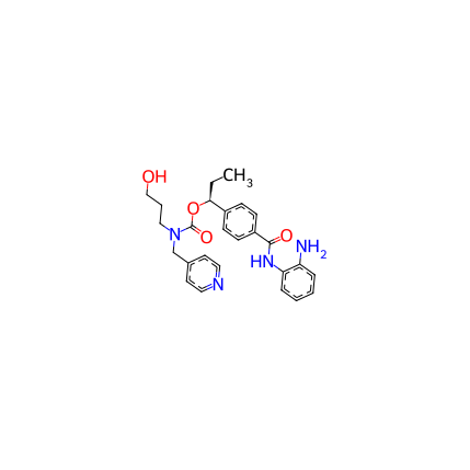 CC[C@H](OC(=O)N(CCCO)Cc1ccncc1)c1ccc(C(=O)Nc2ccccc2N)cc1